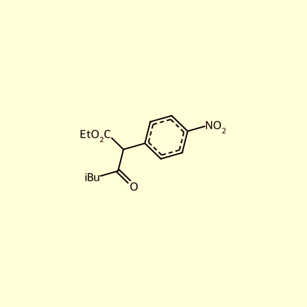 CCOC(=O)C(C(=O)C(C)CC)c1ccc([N+](=O)[O-])cc1